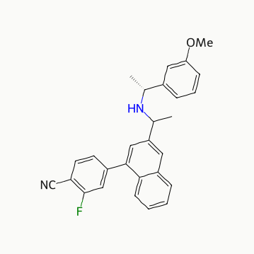 COc1cccc([C@@H](C)NC(C)c2cc(-c3ccc(C#N)c(F)c3)c3ccccc3c2)c1